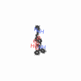 O=C(N[C@@H](Cc1ccc2oc(CCCNc3ccccn3)cc(=O)c2c1)C(=O)O)C(c1ccccc1)c1ccccc1